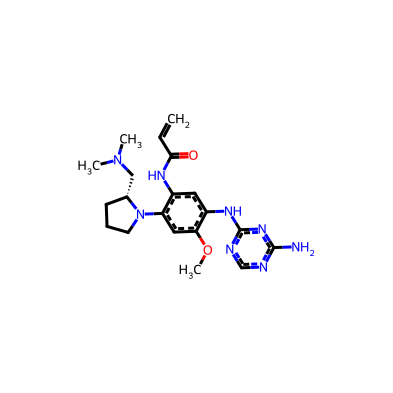 C=CC(=O)Nc1cc(Nc2ncnc(N)n2)c(OC)cc1N1CCC[C@@H]1CN(C)C